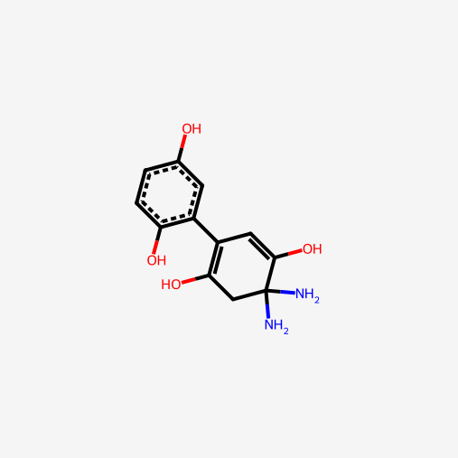 NC1(N)CC(O)=C(c2cc(O)ccc2O)C=C1O